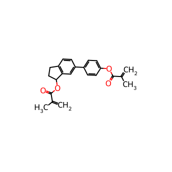 C=C(C)C(=O)Oc1ccc(-c2ccc3c(c2)C(OC(=O)C(=C)C)CC3)cc1